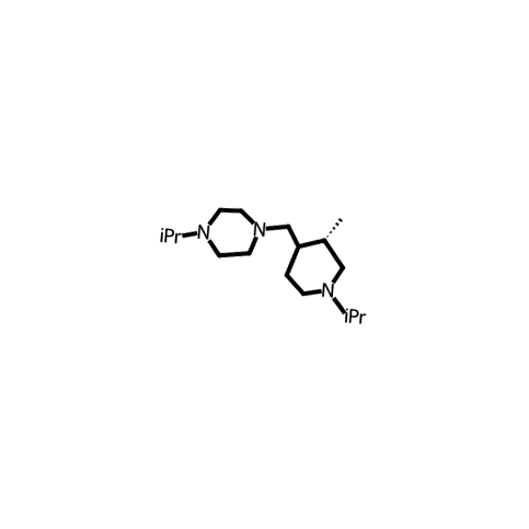 CC(C)N1CCN(CC2CCN(C(C)C)C[C@H]2C)CC1